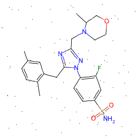 Cc1ccc(C)c(Cc2nc(CN3CCOCC3C)nn2-c2ccc(S(N)(=O)=O)cc2F)c1